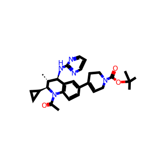 CC(=O)N1c2ccc(C3=CCN(C(=O)OC(C)(C)C)CC3)cc2[C@H](Nc2ncccn2)[C@@H](C)[C@@H]1C1CC1